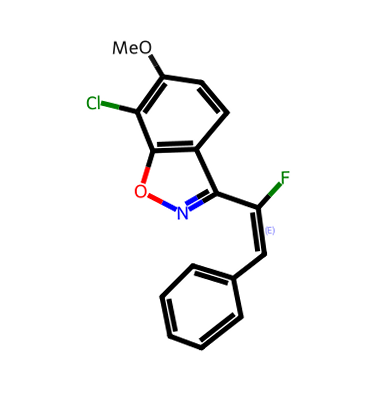 COc1ccc2c(/C(F)=C\c3ccccc3)noc2c1Cl